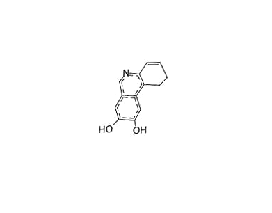 Oc1cc2cnc3c(c2cc1O)CCC=C3